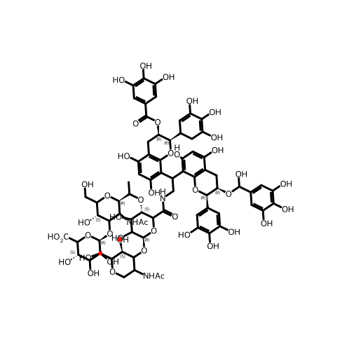 CC(=O)NC1COC(CO)[C@@H](O)C1O[C@@H]1OC(C(=O)NCC(c2c(O)cc(O)c3c2O[C@H](c2cc(O)c(O)c(O)c2)[C@H](OC(O)c2cc(O)c(O)c(O)c2)C3)c2c(O)cc(O)c3c2O[C@H](C2C=C(O)C(O)=C(O)C2)[C@H](OC(=O)c2cc(O)c(O)c(O)c2)C3)[C@@H](OC(C)[C@@H]2OC(CO)[C@@H](O)C(O[C@@H]3OC(C(=O)O)[C@@H](O)C(O)C3O)C2NC(C)=O)C(O)C1O